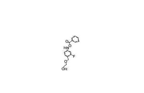 O=C(ONc1ccc(COCCO)c(F)c1)c1ccccc1